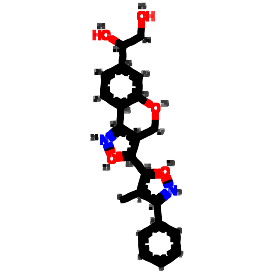 Cc1c(-c2ccccc2)noc1-c1onc2c1COc1cc(C(O)CO)ccc1-2